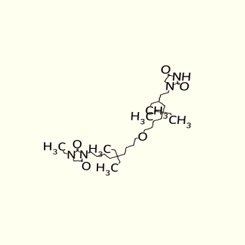 CCC(CCN1CC(=O)NC1=O)CC(CC)(CC)CCCCOCCCCC(CC)(CC)CCCCN1C(=O)CN(CC)C1=O